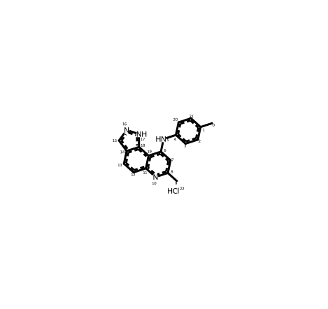 Cc1ccc(Nc2cc(C)nc3ccc4cn[nH]c4c23)cc1.Cl